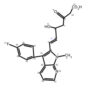 Cn1c(/C=C/C(O)CC(=O)CC(=O)O)c(-c2ccc(F)cc2)c2cccnc21